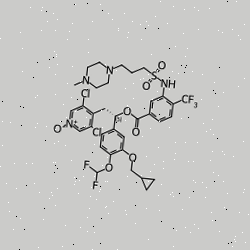 CN1CCN(CCCS(=O)(=O)Nc2cc(C(=O)O[C@@H](Cc3c(Cl)c[n+]([O-])cc3Cl)c3ccc(OC(F)F)c(OCC4CC4)c3)ccc2C(F)(F)F)CC1